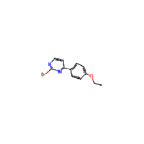 CCOc1ccc(-c2ccnc(Br)n2)cc1